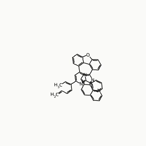 C=C/C=C\C(=C/C)c1cc(-c2cccc3oc4cccc(-c5ccc6ccc7cccnc7c6n5)c4c23)nc(-c2ccccc2)n1